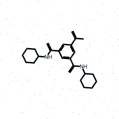 C=C(C)c1cc(C(=C)NC2CCCCC2)cc(C(=C)NC2CCCCC2)c1